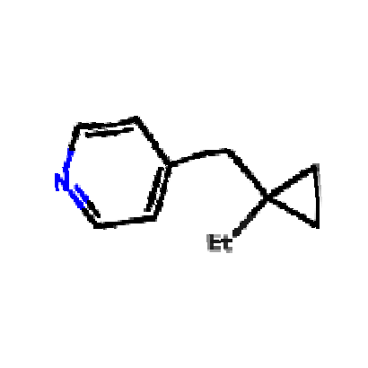 CCC1(Cc2ccncc2)CC1